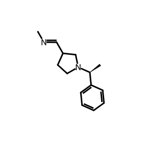 C/N=C/C1CCN([C@@H](C)c2ccccc2)C1